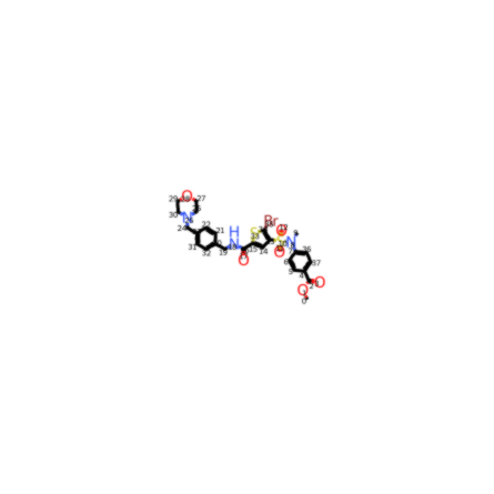 COC(=O)c1ccc(N(C)S(=O)(=O)c2cc(C(=O)NCc3ccc(CN4CCOCC4)cc3)sc2Br)cc1